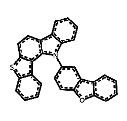 c1ccc2c(c1)oc1ccc(-n3c4ccccc4c4ccc5sc6ccccc6c5c43)cc12